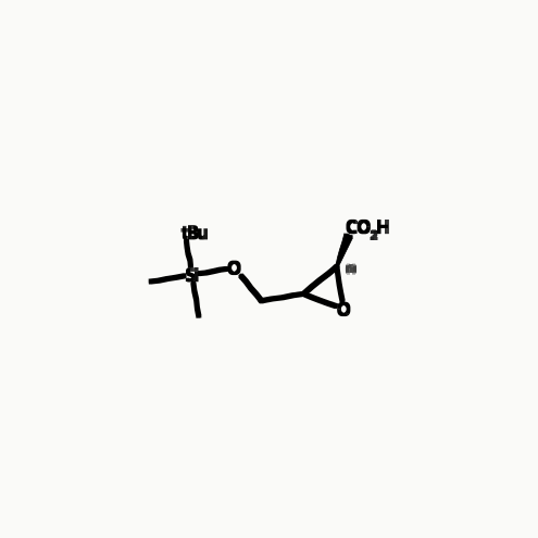 CC(C)(C)[Si](C)(C)OCC1O[C@@H]1C(=O)O